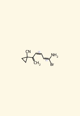 C=C(/C=C\C=C(/N)Br)C1(C#N)CC1